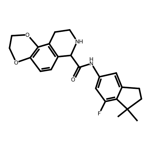 CC1(C)CCc2cc(NC(=O)C3NCCc4c3ccc3c4OCCO3)cc(F)c21